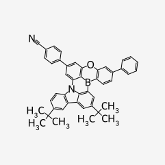 CC(C)(C)c1ccc2c(c1)c1cc(C(C)(C)C)cc3c1n2-c1cc(-c2ccc(C#N)cc2)cc2c1B3c1ccc(-c3ccccc3)cc1O2